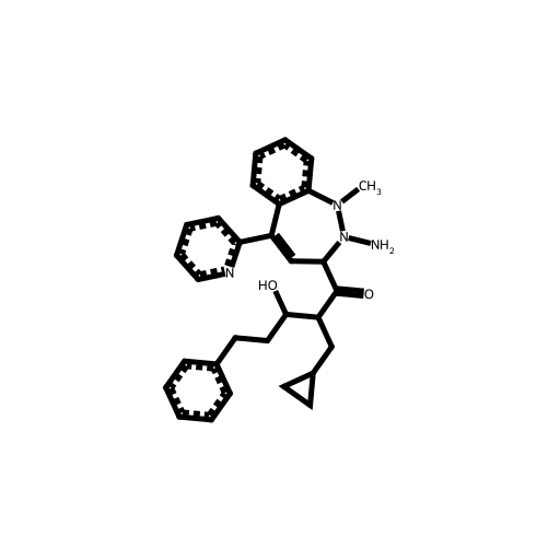 CN1c2ccccc2C(c2ccccn2)=CC(C(=O)C(CC2CC2)C(O)CCc2ccccc2)N1N